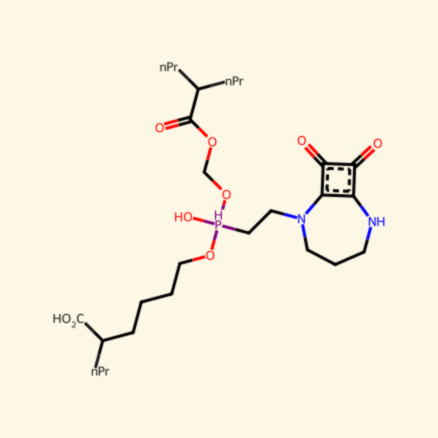 CCCC(CCCCO[PH](O)(CCN1CCCNc2c1c(=O)c2=O)OCOC(=O)C(CCC)CCC)C(=O)O